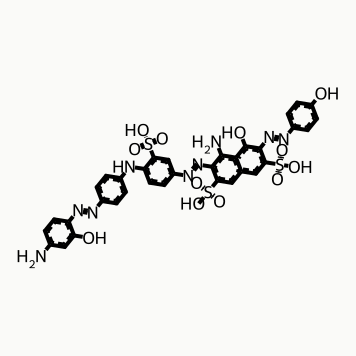 Nc1ccc(N=Nc2ccc(Nc3ccc(N=Nc4c(S(=O)(=O)O)cc5cc(S(=O)(=O)O)c(N=Nc6ccc(O)cc6)c(O)c5c4N)cc3S(=O)(=O)O)cc2)c(O)c1